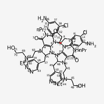 CCCn1c(=O)c2c(n(CCc3ccc(N)c(Cl)c3)c1=O)N(N1c3c(c(=O)n(CCC)c(=O)n3CCc3ccc(N)cc3Cl)N(CCN(CC)CCO)C1Cc1ccnnc1)C(Cc1ccnnc1)N2CCN(CC)CCO